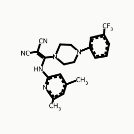 Cc1cc(C)nc(NC(=C(C#N)C#N)N2CCN(c3cccc(C(F)(F)F)c3)CC2)c1